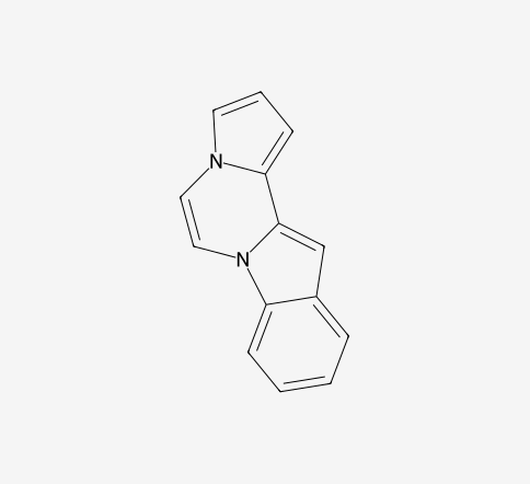 c1ccc2c(c1)cc1c3cccn3ccn21